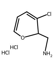 Cl.Cl.NCC1OC=CC=C1Cl